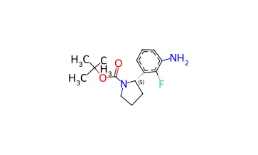 CC(C)(C)OC(=O)N1CCC[C@H]1c1cccc(N)c1F